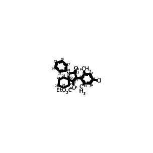 CCOC(=O)OC1=C(c2c(C)cc(Cl)cc2C)C(=O)N(c2ccccc2)C12CCCCC2